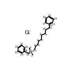 C[N+](C)(CCCCCCCCCc1ccccc1)Cc1ccccc1.[Cl-]